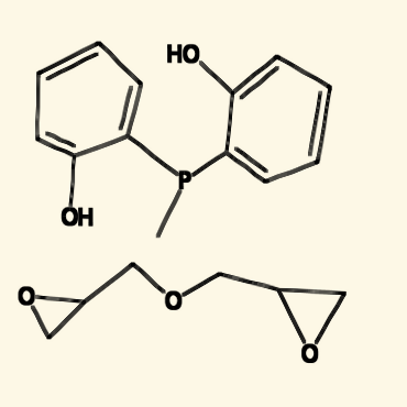 C(OCC1CO1)C1CO1.CP(c1ccccc1O)c1ccccc1O